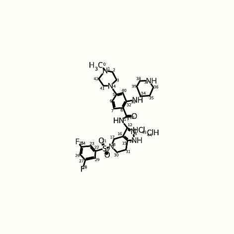 CN1CCN(c2ccc(C(=O)Nc3n[nH]c4c3CN(S(=O)(=O)c3cc(F)cc(F)c3)CC4)c(NC3CCNCC3)c2)CC1.Cl.Cl